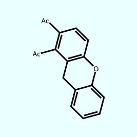 CC(=O)c1ccc2c(c1C(C)=O)Cc1ccccc1O2